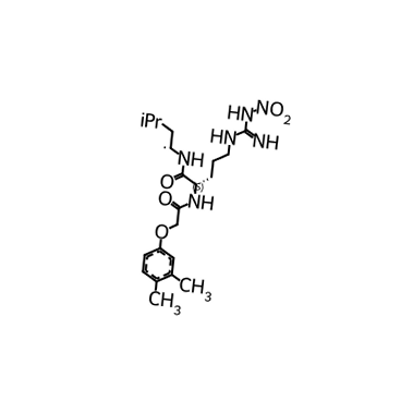 Cc1ccc(OCC(=O)N[C@@H](CCCNC(=N)N[N+](=O)[O-])C(=O)N[CH]CC(C)C)cc1C